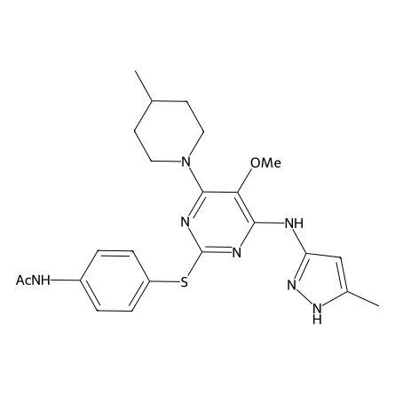 COc1c(Nc2cc(C)[nH]n2)nc(Sc2ccc(NC(C)=O)cc2)nc1N1CCC(C)CC1